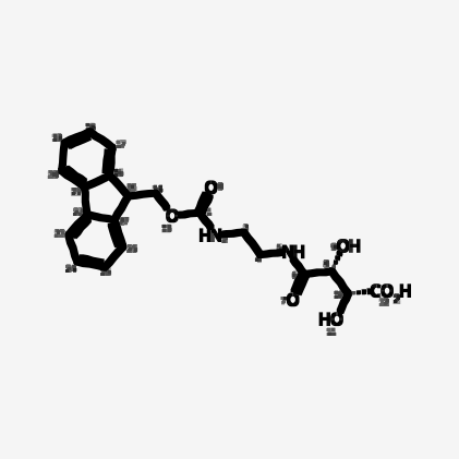 O=C(NCCNC(=O)[C@H](O)[C@@H](O)C(=O)O)OCC1c2ccccc2-c2ccccc21